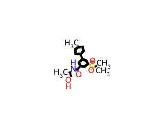 Cc1ccc(-c2cc(C(=O)N[C@@H](C)CO)cc(S(=O)(=O)C(C)C)c2)cc1